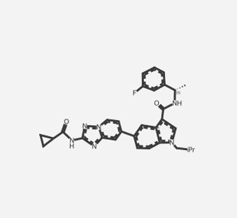 CC(C)Cn1cc(C(=O)N[C@@H](C)c2cccc(F)c2)c2cc(-c3ccn4nc(NC(=O)C5CC5)nc4c3)ccc21